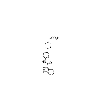 O=C(O)C[C@H]1CC[C@H](c2ccc(NC(=O)c3onc4ccccc34)cc2)CC1